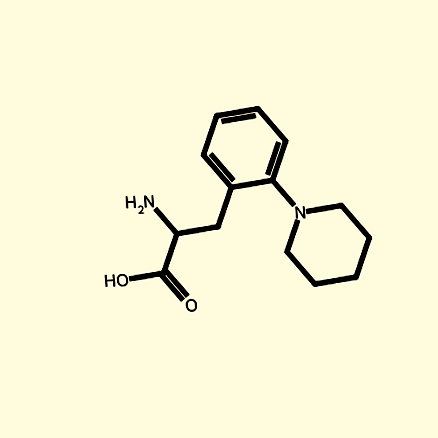 NC(Cc1ccccc1N1CCCCC1)C(=O)O